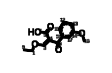 CCOC=C(C(=O)O)C(=O)c1cccc(OC)c1